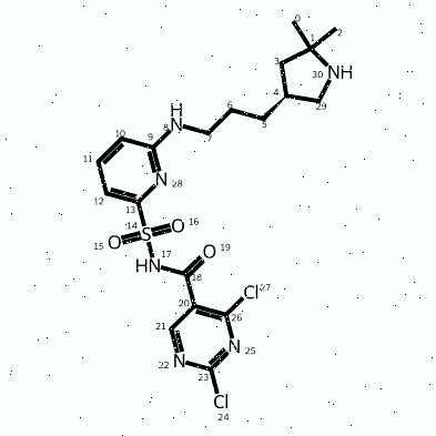 CC1(C)C[C@H](CCCNc2cccc(S(=O)(=O)NC(=O)c3cnc(Cl)nc3Cl)n2)CN1